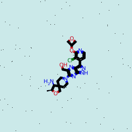 C[C@@H]1OCC2(CCN(c3nc4[nH]nc(-c5ccnc(OC6COC6)c5Cl)c4nc3CO)CC2)[C@@H]1N